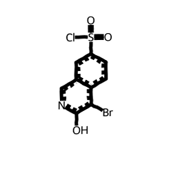 O=S(=O)(Cl)c1ccc2c(Br)c(O)ncc2c1